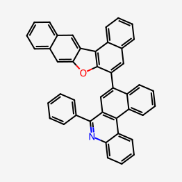 c1ccc(-c2nc3ccccc3c3c2cc(-c2cc4ccccc4c4c2oc2cc5ccccc5cc24)c2ccccc23)cc1